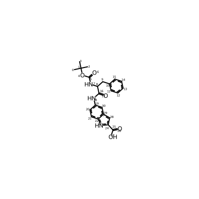 CC(C)(C)OC(=O)NC(Cc1ccccc1)C(=O)Nc1ccc2[nH]c(C(=O)O)cc2c1